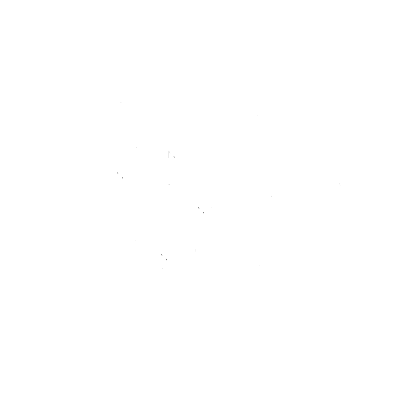 CC(C)c1nc(Cl)c2c(n1)n(Cc1ccc(F)cc1)c(=O)n2S